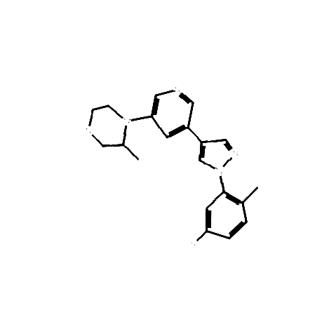 Cc1ccc([N+](=O)[O-])cc1-n1cc(-c2cncc(N3CCNCC3C)c2)cn1